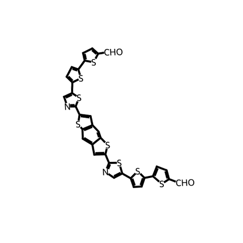 O=Cc1ccc(-c2ccc(-c3cnc(-c4cc5cc6sc(-c7ncc(-c8ccc(-c9ccc(C=O)s9)s8)s7)cc6cc5s4)s3)s2)s1